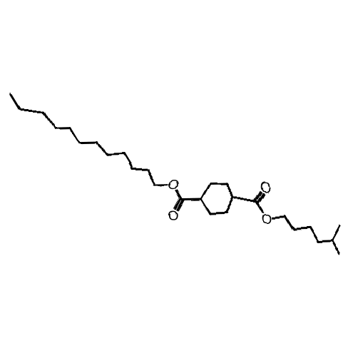 CCCCCCCCCCCCOC(=O)C1CCC(C(=O)OCCCCC(C)C)CC1